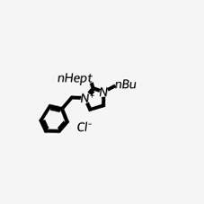 CCCCCCCC1=[N+](Cc2ccccc2)CCN1CCCC.[Cl-]